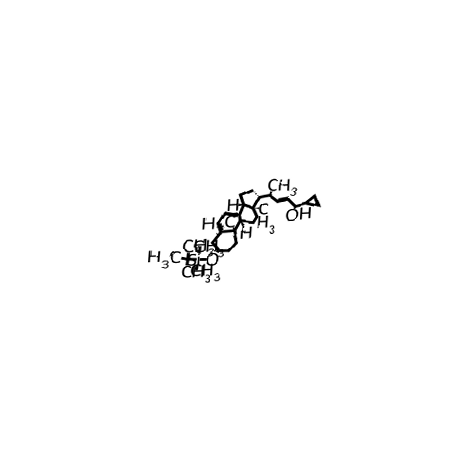 C[C@@H](/C=C/[C@@H](O)C1CC1)[C@H]1CC[C@H]2C3=CC=C4CC(O[Si](C)(C)C(C)(C)C)CC[C@]4(C)[C@H]3CC[C@]12C